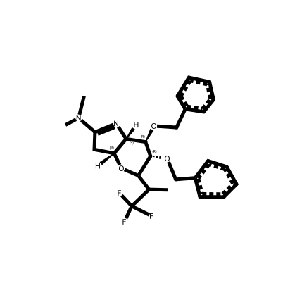 CC(C1O[C@@H]2CC(N(C)C)=N[C@@H]2[C@@H](OCc2ccccc2)[C@@H]1OCc1ccccc1)C(F)(F)F